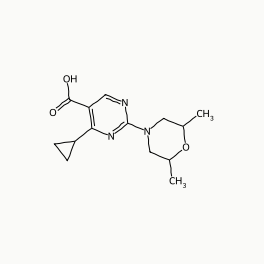 CC1CN(c2ncc(C(=O)O)c(C3CC3)n2)CC(C)O1